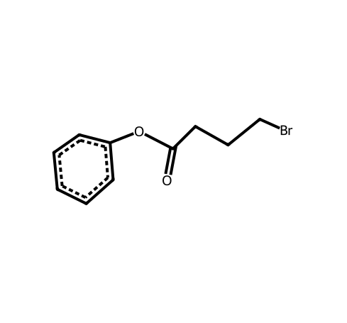 O=C(CCCBr)Oc1ccccc1